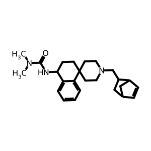 CN(C)C(=O)NC1CCC2(CCN(CC3CC4C=CC3C4)CC2)c2ccccc21